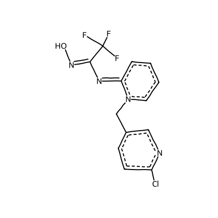 O/N=C(/N=c1\ccccn1Cc1ccc(Cl)nc1)C(F)(F)F